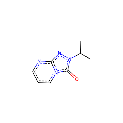 CC(C)n1nc2ncccn2c1=O